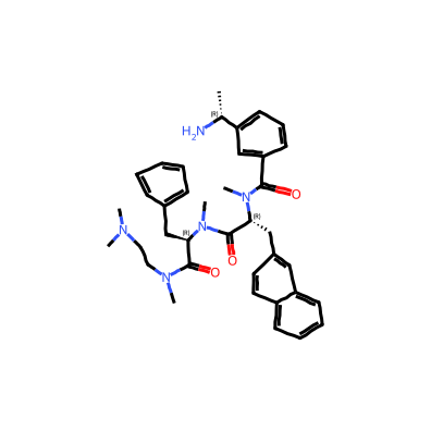 C[C@@H](N)c1cccc(C(=O)N(C)[C@H](Cc2ccc3ccccc3c2)C(=O)N(C)[C@H](Cc2ccccc2)C(=O)N(C)CCN(C)C)c1